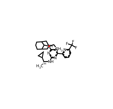 CCC1CC2CCCC(C1)C2Nc1nc(N[C@H](C)C2CC2)nc(-c2cccc(C(F)(F)F)n2)n1